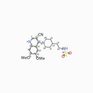 COc1cc2ncc(C#N)c(N3CCC(CCN[SH](=O)=O)CC3)c2cc1OC